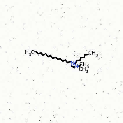 CCCCCCCCCCCCCCCC[n+]1ccn(C(C)C)c1CCCCCCC